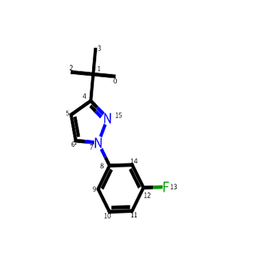 CC(C)(C)c1c[c]n(-c2cccc(F)c2)n1